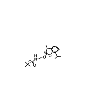 CC(C)c1cccc(C(C)C)c1OC(=O)OCCNC(=O)OC(C)(C)C